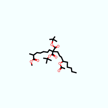 CCCCCC(CCCC(CCCCCC(C)C(=O)OC)(C(=O)OC(C)(C)C)C(=O)OC(C)(C)C)OC(C)=O